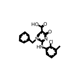 Cc1cccc(Nc2nc(=O)c(C(=O)O)cn2Cc2ccccc2)c1Cl